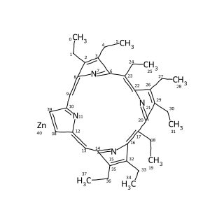 CCC1=C(CC)C2=NC1=CC1=NC(=CC3=NC(=C(CC)C4=NC(=C2CC)C(CC)=C4CC)C(CC)=C3CC)C=C1.[Zn]